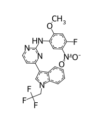 COc1cc(F)c([N+](=O)[O-])cc1Nc1nccc(-c2cn(CC(F)(F)F)c3ccccc23)n1